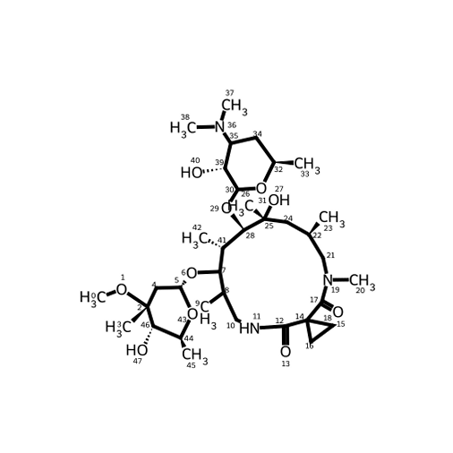 CO[C@]1(C)C[C@H](OC2C(C)CNC(=O)C3(CC3)C(=O)N(C)C[C@H](C)C[C@@](C)(O)[C@H](OC3O[C@H](C)CC(N(C)C)[C@H]3O)[C@H]2C)O[C@@H](C)[C@@H]1O